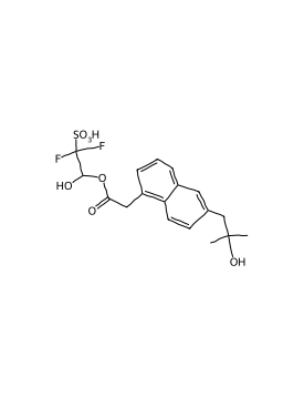 CC(C)(O)Cc1ccc2c(CC(=O)OC(O)C(F)(F)S(=O)(=O)O)cccc2c1